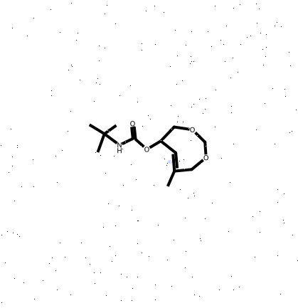 C/C1=C\C(OC(=O)NC(C)(C)C)COCOC1